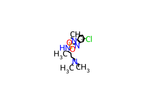 CCN(CC)CCCC(C)NS(=O)(=O)c1nc2cc(Cl)ccc2n1CC